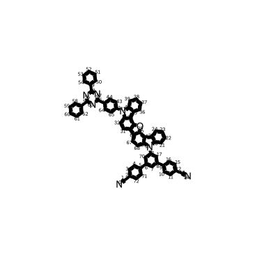 N#Cc1ccc(-c2cc(-c3ccc(C#N)cc3)cc(-n3c4ccccc4c4c5oc6c(ccc7c6c6ccccc6n7-c6ccc(-c7nc(-c8ccccc8)nc(-c8ccccc8)n7)cc6)c5ccc43)c2)cc1